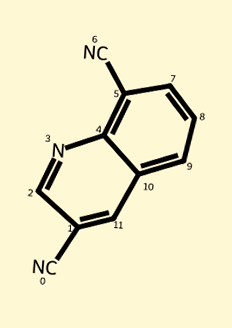 N#Cc1cnc2c(C#N)cccc2c1